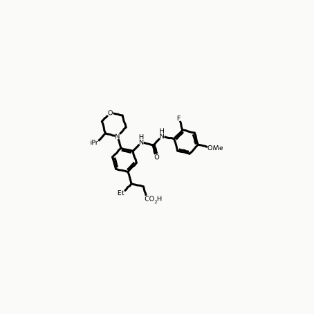 CCC(CC(=O)O)c1ccc(N2CCOCC2C(C)C)c(NC(=O)Nc2ccc(OC)cc2F)c1